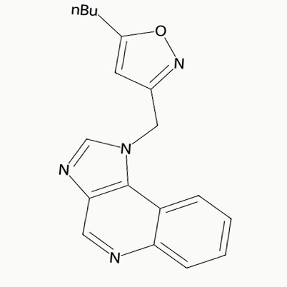 CCCCc1cc(Cn2cnc3cnc4ccccc4c32)no1